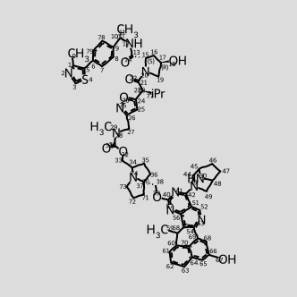 Cc1ncsc1-c1ccc([C@H](C)NC(=O)[C@@H]2C[C@@H](O)CN2C(=O)[C@H](c2cc(CN(C)C(=O)OCC3CC[C@@]4(COc5nc(N6CC7CCC(C6)N7)c6cnc7c(c6n5)C(C)c5cccc6cc(O)cc-7c56)CCCN34)no2)C(C)C)cc1